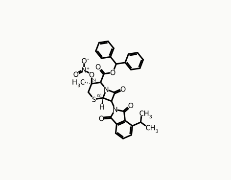 CC(C)c1cccc2c1C(=O)N(C1C(=O)N3C(C(=O)OC(c4ccccc4)c4ccccc4)[C@](C)(O[N+](=O)[O-])CS[C@@H]13)C2=O